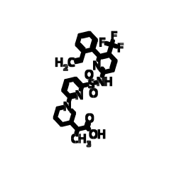 C=Cc1ccccc1-c1nc(NS(=O)(=O)c2cccc(N3CCCC(C(C)C(=O)O)C3)n2)ccc1C(F)(F)F